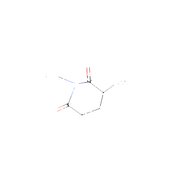 CNC1CCC(=O)N(C)C1=O